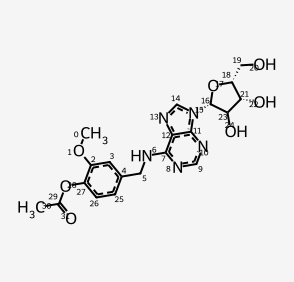 COc1cc(CNc2ncnc3c2ncn3[C@@H]2O[C@H](CO)[C@H](O)C2O)ccc1OC(C)=O